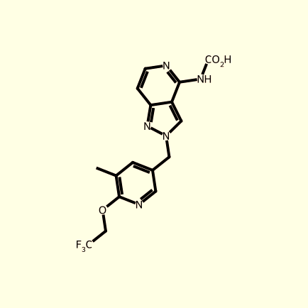 Cc1cc(Cn2cc3c(NC(=O)O)nccc3n2)cnc1OCC(F)(F)F